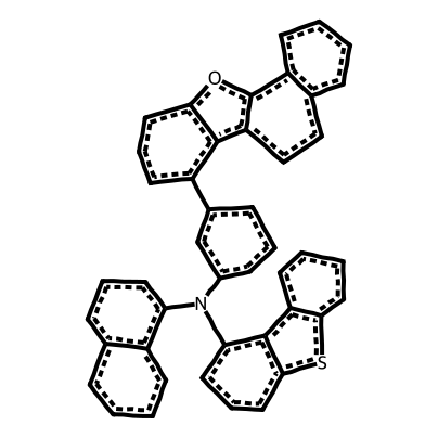 c1cc(-c2cccc3oc4c5ccccc5ccc4c23)cc(N(c2cccc3ccccc23)c2cccc3sc4ccccc4c23)c1